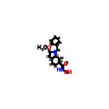 COc1ccccc1Cn1ccc2ccc(C(=O)NO)cc21